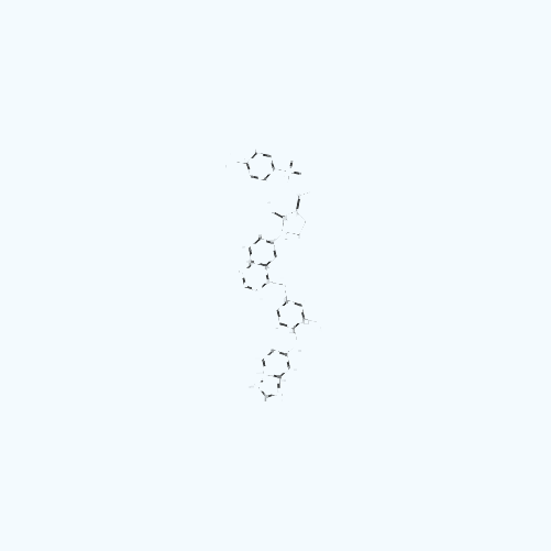 CCC(OS(=O)(=O)c1ccc(C)cc1)=C1CCN(c2ccc3ncnc(Nc4ccc(Oc5ccn6ncnc6c5)c(C)c4)c3c2)C1=O